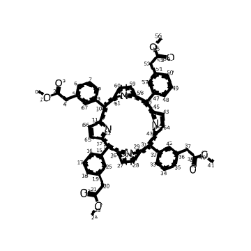 COC(=O)Cc1cccc(-c2c3nc(c(-c4cccc(CC(=O)OC)c4)c4ccc([nH]4)c(-c4cccc(CC(=O)OC)c4)c4nc(c(-c5cccc(CC(=O)OC)c5)c5ccc2[nH]5)C=C4)C=C3)c1